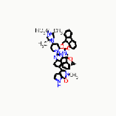 C[C@@H]1CN(C2CCN(c3nc([C@@](CNC(=O)OCC4c5ccccc5-c5ccccc54)(OC4CC4)c4ccccc4)c4cc(-c5cn(C)c(=O)c6[nH]ccc56)ccc4n3)CC2)[C@@H](C)CN1C(=O)O